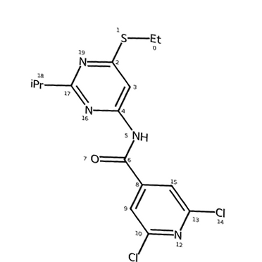 CCSc1cc(NC(=O)c2cc(Cl)nc(Cl)c2)nc(C(C)C)n1